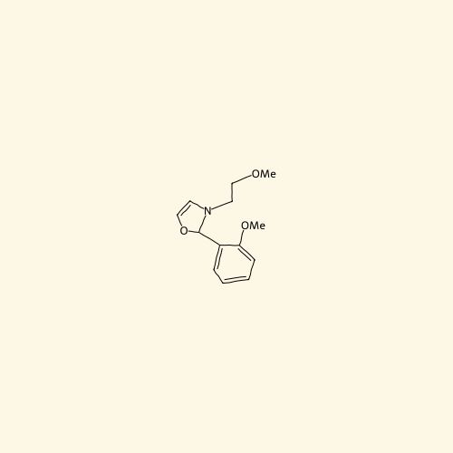 COCCN1C=COC1c1ccccc1OC